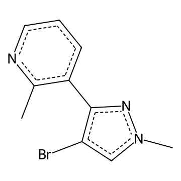 Cc1ncccc1-c1nn(C)cc1Br